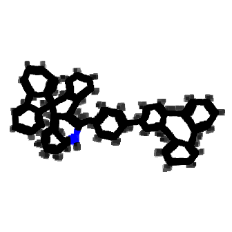 c1ccc2c(c1)-c1ccccc1C21c2ccccc2-c2c(-c3ccc(-c4ccc5c6ccccc6c6ccccc6c5c4)cc3)nc3ccccc3c21